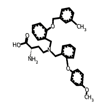 COc1ccc(Oc2ccccc2CN(CC[C@H](N)C(=O)O)Cc2ccccc2OCc2cccc(C)c2)cc1